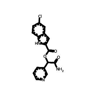 NC(=O)C(OC(=O)c1cc2cc(Cl)ccc2[nH]1)c1cccnc1